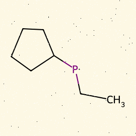 CC[P]C1CCCC1